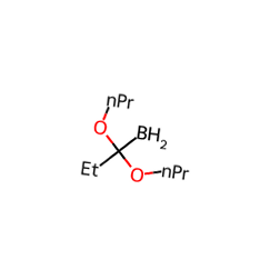 BC(CC)(OCCC)OCCC